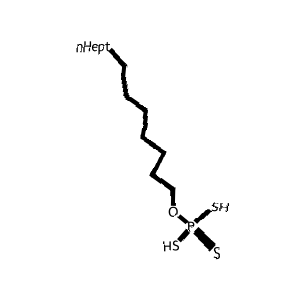 CCCCCCCCCCCCCCOP(=S)(S)S